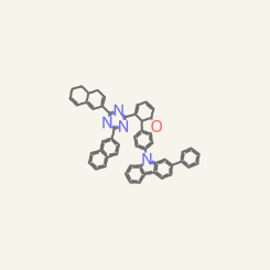 C1=CC2Oc3cc(-n4c5ccccc5c5ccc(-c6ccccc6)cc54)ccc3C2C(c2nc(C3=CCC4CCC=CC4=C3)nc(-c3ccc4ccccc4c3)n2)=C1